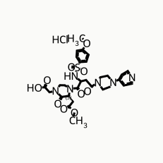 COC(=O)C[C@H]1C(=O)N(CC(=O)O)CCN1C(=O)C(CC(=O)N1CCN(c2ccncc2)CC1)NS(=O)(=O)c1ccc(OC)cc1.Cl